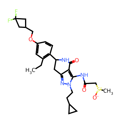 CCc1cc(OCC2CC(F)(F)C2)ccc1C1Cc2nn(CCC3CC3)c(NC(=O)C[S+](C)[O-])c2C(=O)N1